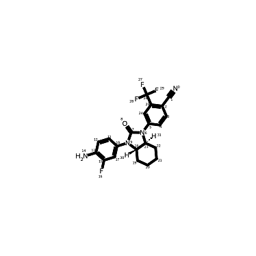 N#Cc1ccc(N2C(=O)N(c3ccc(N)c(F)c3)[C@H]3CCCC[C@@H]32)cc1C(F)(F)F